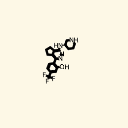 Oc1cc(C(F)(F)F)ccc1-c1nnc(N[C@@H]2CCCNC2)c2c1CCC2